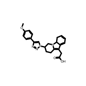 COc1ccc(-c2cn(C3CCC4=C(CC(=O)O)C5=CC=CCC5N4C3)nn2)cc1